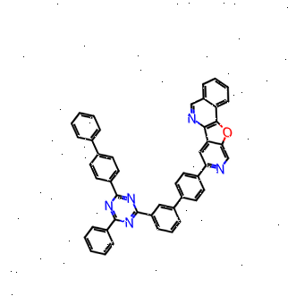 c1ccc(-c2ccc(-c3nc(-c4ccccc4)nc(-c4cccc(-c5ccc(-c6cc7c(cn6)oc6c8ccccc8cnc76)cc5)c4)n3)cc2)cc1